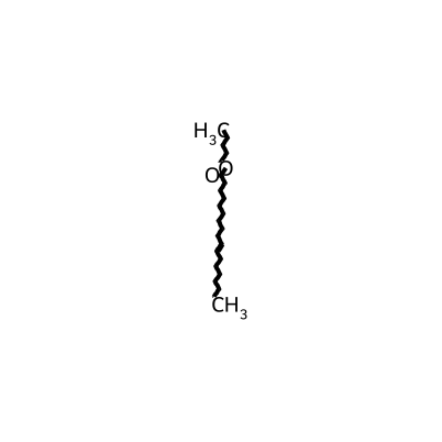 CCCCCCC/C=C/CCCCCCCCC(=O)OCCCCC